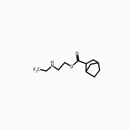 O=C(OCCNCC(F)(F)F)C1CC2CCC1C2